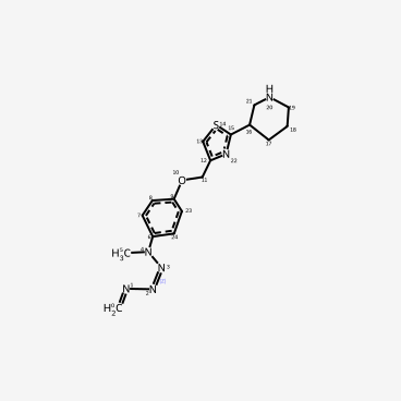 C=N/N=N\N(C)c1ccc(OCc2csc(C3CCCNC3)n2)cc1